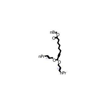 CCC/C=C/COC(C#CCCCCCC(=O)OCCCC)OC/C=C/CCC